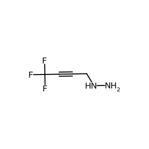 NNCC#CC(F)(F)F